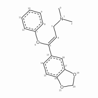 CN(C)CC=C(Oc1ccccc1)c1ccc2c(c1)OCO2